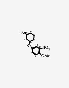 COc1ccc(OC2CCCC(C(F)(F)F)C2)cc1[N+](=O)[O-]